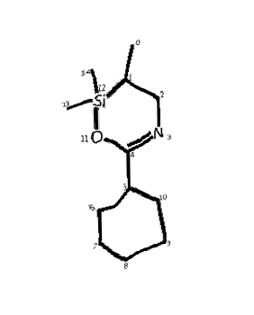 CC1CN=C(C2CCCCC2)O[Si]1(C)C